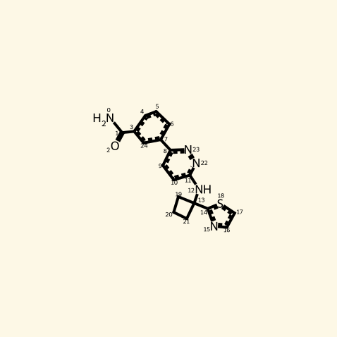 NC(=O)c1cccc(-c2ccc(NC3(c4nccs4)CCC3)nn2)c1